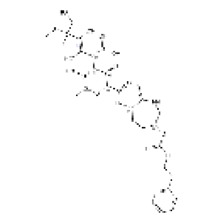 COO[C@@H](C(=O)N[C@H]1CC[C@@H](OC(=O)OCCc2ccccc2)CNC1=O)[C@H](OO)[C@H](OO)[C@@H](OO)/C(O)=C(\O)C(C)(CO)OC